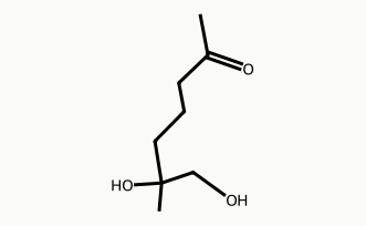 CC(=O)CCCC(C)(O)CO